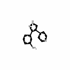 Nc1cccc(-c2n[nH]cc2-c2ccncc2)c1